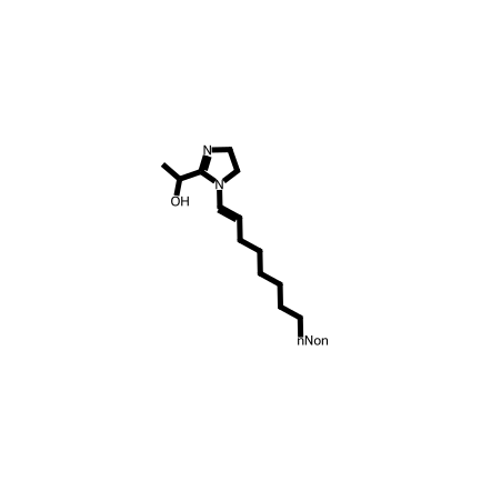 CCCCCCCCCCCCCCCC=CN1CCN=C1C(C)O